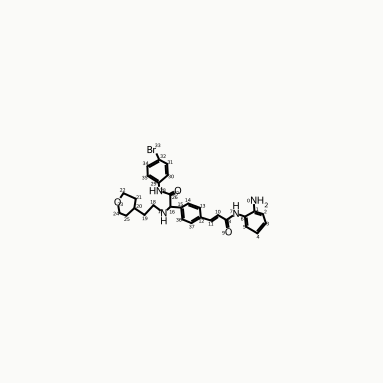 Nc1ccccc1NC(=O)C=Cc1ccc(C(NCCC2CCOCC2)C(=O)Nc2ccc(Br)cc2)cc1